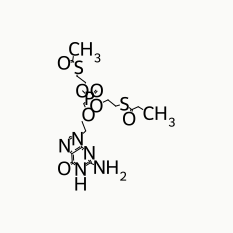 CCC(=O)SCCOP(=O)(COCCn1cnc2c(=O)[nH]c(N)nc21)OCCSC(C)=O